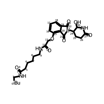 CCC(C)CNC(=O)CCCCCNC(=O)COc1cccc2c1C(=O)N(C1CCC(=O)NC1O)C2=O